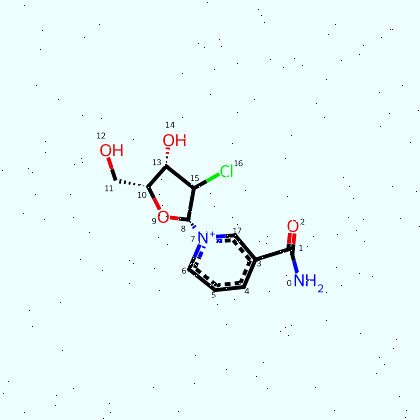 NC(=O)c1ccc[n+]([C@@H]2O[C@H](CO)[C@H](O)C2Cl)c1